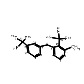 Cc1cccc(Cc2cccc(C(F)(F)F)c2)c1C(F)(F)F